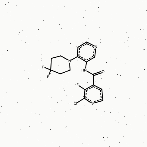 O=C(Nc1cnccc1N1CCC(F)(F)CC1)c1ccnc(Cl)c1F